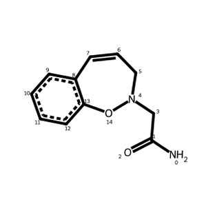 NC(=O)CN1CC=Cc2ccccc2O1